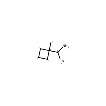 CC1(C(N)C#N)CCC1